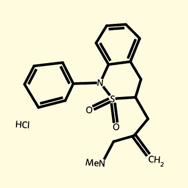 C=C(CNC)CC1Cc2ccccc2N(c2ccccc2)S1(=O)=O.Cl